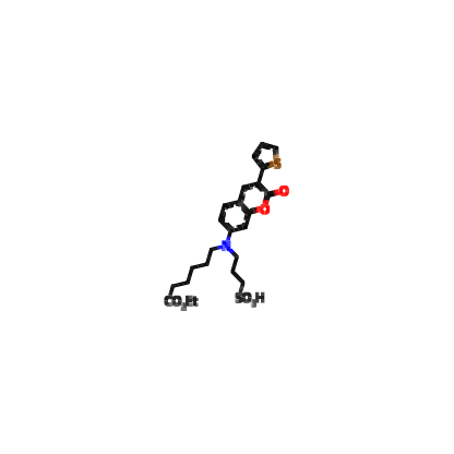 CCOC(=O)CCCCCN(CCCS(=O)(=O)O)c1ccc2cc(-c3cccs3)c(=O)oc2c1